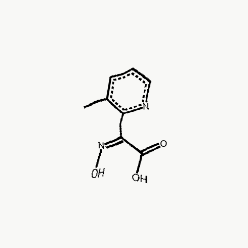 Cc1cccnc1C(=NO)C(=O)O